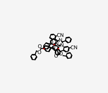 N#Cc1ccc(-c2cccc(-n3c4ccccc4c4cc(C(=O)OCc5ccccc5)ccc43)c2-c2nc(-c3ccccc3)nc(-c3c(C#N)cccc3-n3c4ccccc4c4cc(C(=O)OCc5ccccc5)ccc43)n2)cc1